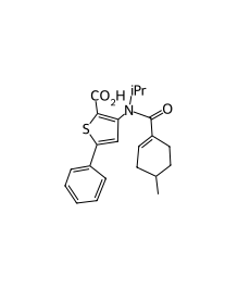 CC1CC=C(C(=O)N(c2cc(-c3ccccc3)sc2C(=O)O)C(C)C)CC1